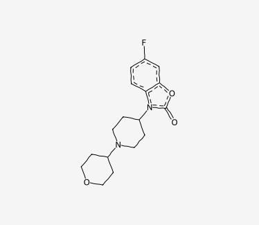 O=c1oc2cc(F)ccc2n1C1CCN(C2CCOCC2)CC1